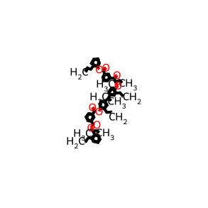 C=CCc1ccccc1OC(=O)c1cccc(C(=O)C(C)(CC)Oc2ccc(C(C)(C)c3ccc(OC(=O)c4cccc(C(=O)OC(C)(CC)c5ccccc5CC=C)c4)c(CC=C)c3)cc2CC=C)c1